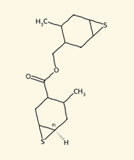 CC1CC2SC2CC1COC(=O)C1CC2S[C@@H]2CC1C